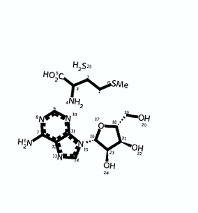 CSCCC(N)C(=O)O.Nc1ncnc2c1ncn2[C@@H]1O[C@H](CO)[C@@H](O)[C@H]1O.S